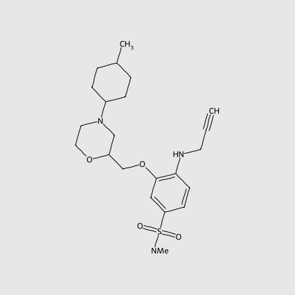 C#CCNc1ccc(S(=O)(=O)NC)cc1OCC1CN(C2CCC(C)CC2)CCO1